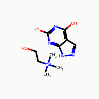 C[N+](C)(C)CCO.Oc1nc(O)c2cn[nH]c2n1